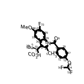 CCC(C)[C@H](C(=O)O)c1c(C)n(C(=O)c2ccc(OC(F)F)cc2)c2cc(F)c(OC)cc12